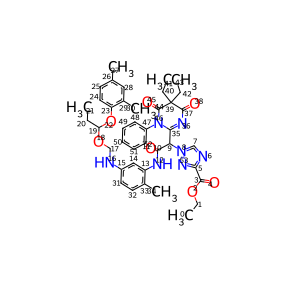 CCOC(=O)c1ncn(C(C(=O)Nc2cc(NCOC(CC)Oc3ccc(C)cc3C)ccc2C)C2=NC(=O)C(CC)(CC)C(=O)N2c2ccccc2)n1